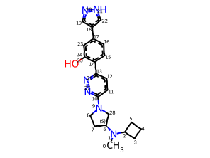 CN(C1CCC1)[C@H]1CCN(c2ccc(-c3ccc(-c4cn[nH]c4)cc3O)nn2)C1